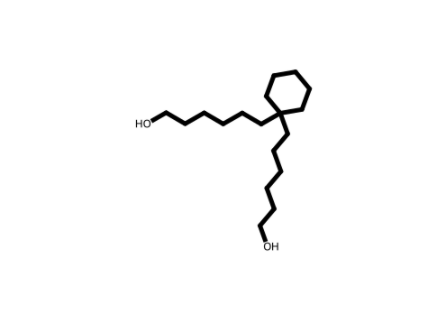 OCCCCCCC1(CCCCCCO)CCCCC1